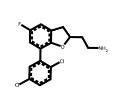 NCCC1Cc2cc(F)cc(-c3cc(Cl)ccc3Cl)c2O1